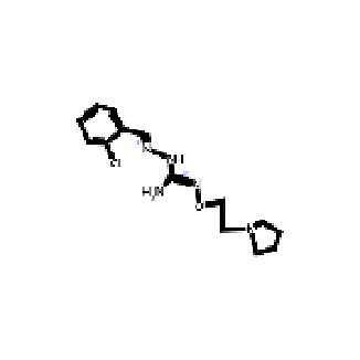 N/C(=N\OCCN1CCCC1)N/N=C/c1ccccc1Cl